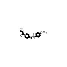 COc1ccc(SNN=C2CCN(C(=O)CCC(F)(F)F)CC2)cc1